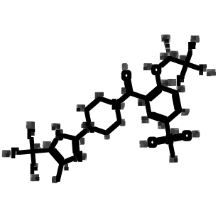 Cc1nc(N2CCN(C(=O)c3cc(S(C)(=O)=O)ccc3O[C@H](C)C(F)(F)F)CC2)sc1C(F)(F)F